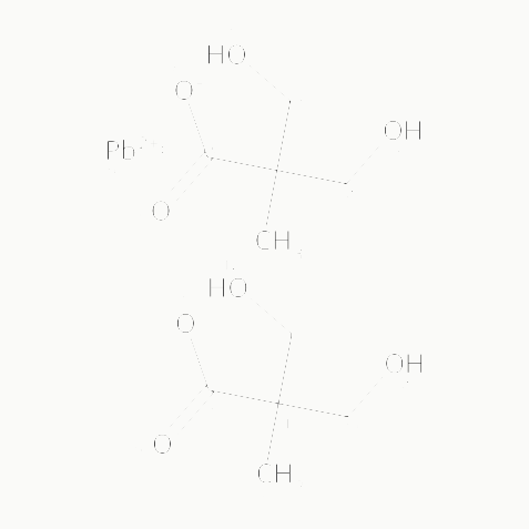 CC(CO)(CO)C(=O)[O-].CC(CO)(CO)C(=O)[O-].[Pb+2]